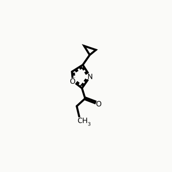 CCC(=O)c1nc(C2CC2)co1